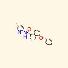 Cc1ccc(NC(=O)C2CCCc3c(OCc4ccccc4)cccc32)nc1